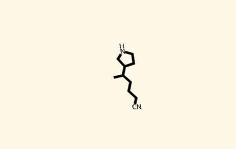 CC(CCCC#N)C1CCNC1